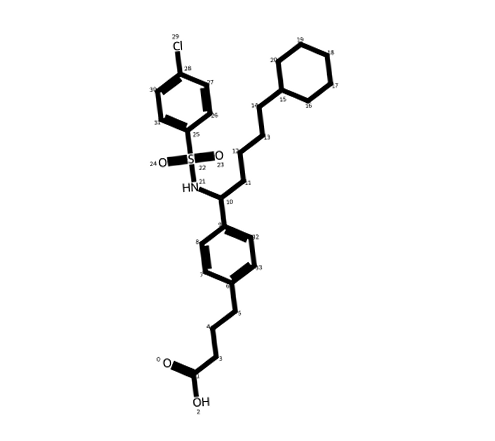 O=C(O)CCCc1ccc(C(CCCCC2CCCCC2)NS(=O)(=O)c2ccc(Cl)cc2)cc1